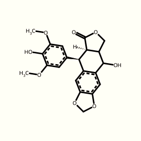 COc1cc([C@@H]2c3cc4c(cc3C(O)C3COC(=O)[C@@H]32)OCO4)cc(OC)c1O